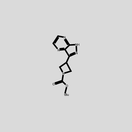 CC(C)(C)OC(=O)N1CC(c2n[nH]c3nccnc23)C1